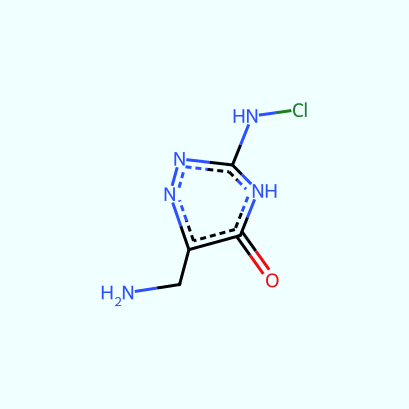 NCc1nnc(NCl)[nH]c1=O